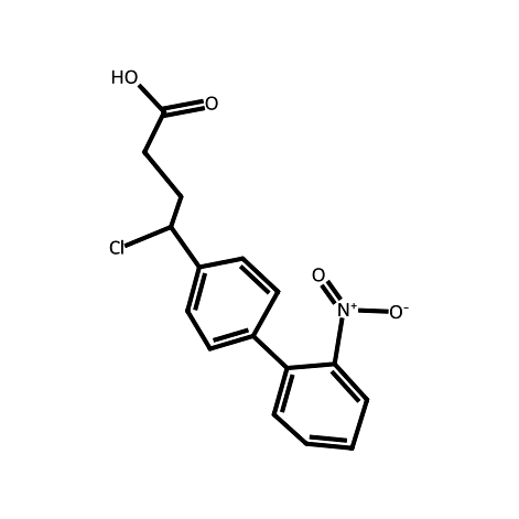 O=C(O)CCC(Cl)c1ccc(-c2ccccc2[N+](=O)[O-])cc1